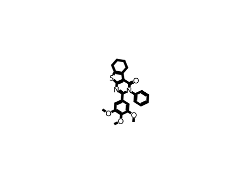 COc1cc(-c2nc3sc4c(c3c(=O)n2-c2ccccc2)CCCC4)cc(OC)c1OC